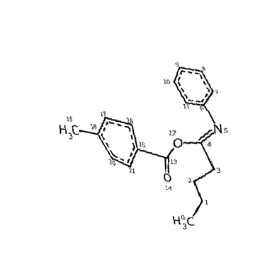 CCCCC(=Nc1ccccc1)OC(=O)c1ccc(C)cc1